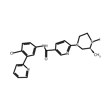 C[C@H]1CN(c2ccc(C(=O)Nc3ccc(Cl)c(-c4ccccn4)c3)cn2)CCN1I